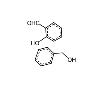 O=Cc1ccccc1O.OCc1ccccc1